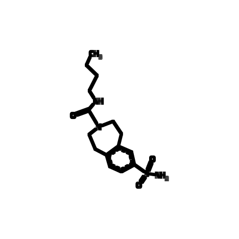 CCCCNC(=O)N1CCc2ccc(S(N)(=O)=O)cc2CC1